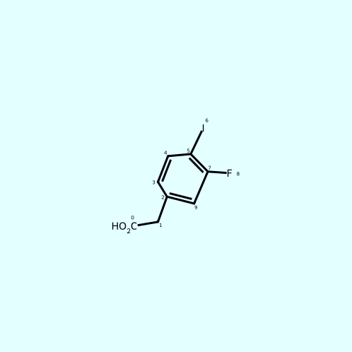 O=C(O)Cc1ccc(I)c(F)c1